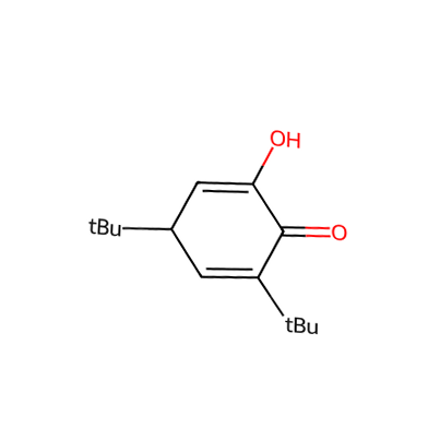 CC(C)(C)C1=CC(C(C)(C)C)C=C(O)C1=O